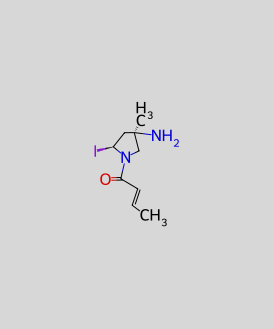 C/C=C/C(=O)N1C[C@](C)(N)C[C@@H]1I